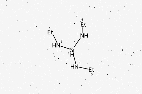 CCN[SiH](NCC)NCC